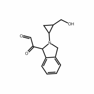 O=CC(=O)C1c2ccccc2CN1C1CC1CO